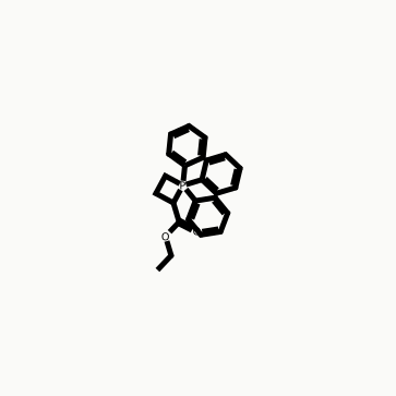 CCOC(=O)C1CCP1(c1ccccc1)(c1ccccc1)c1ccccc1